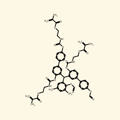 C=C(C)C(=O)OCCNC(=O)Oc1ccc(-c2ccc(OC(=O)NCCOC(=O)C(=C)C)c(C(c3cc(-c4ccc(OC=O)cc4)ccc3OC(=O)NCCOC(=O)C(=C)C)c3cc(C)cc(C)c3OC=O)c2)cc1